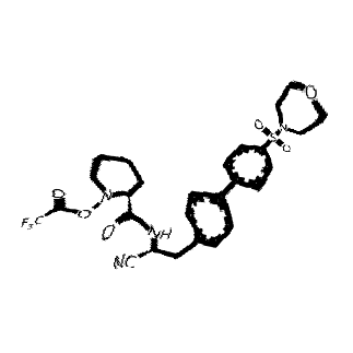 N#C[C@H](Cc1ccc(-c2ccc(S(=O)(=O)N3CCOCC3)cc2)cc1)NC(=O)[C@@H]1CCCCN1OC(=O)C(F)(F)F